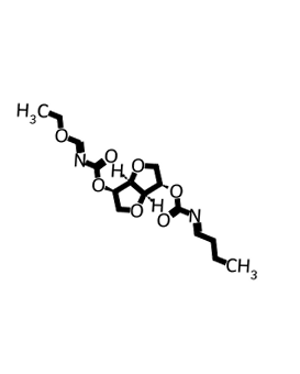 CCC/C=N/C(=O)O[C@H]1CO[C@H]2[C@@H]1OC[C@H]2OC(=O)/N=C/OCC